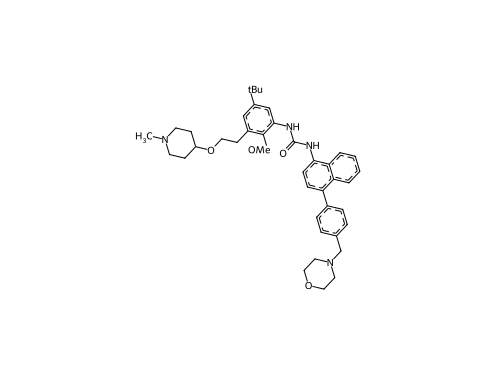 COc1c(CCOC2CCN(C)CC2)cc(C(C)(C)C)cc1NC(=O)Nc1ccc(-c2ccc(CN3CCOCC3)cc2)c2ccccc12